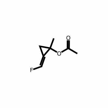 CC(=O)OC1(C)CC1=CF